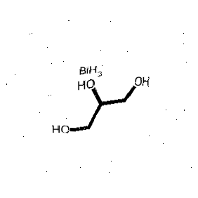 OCC(O)CO.[BiH3]